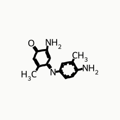 CC1=CC(=O)C(N)=CC1=Nc1ccc(N)c(C)c1